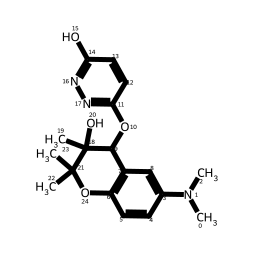 CN(C)c1ccc2c(c1)C(Oc1ccc(O)nn1)C(C)(O)C(C)(C)O2